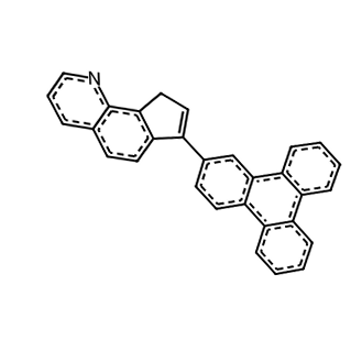 C1=C(c2ccc3c4ccccc4c4ccccc4c3c2)c2ccc3cccnc3c2C1